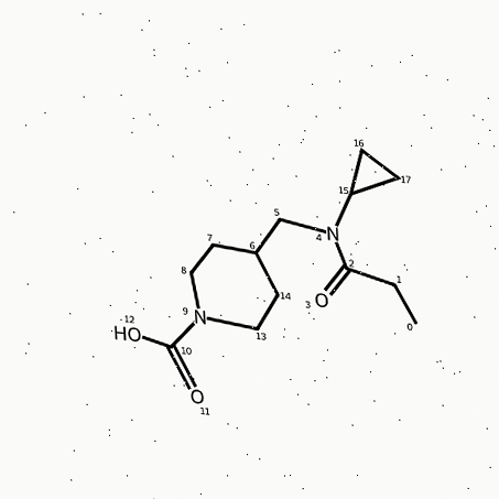 CCC(=O)N(CC1CCN(C(=O)O)CC1)C1CC1